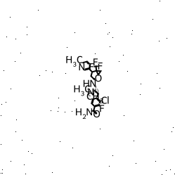 Cc1ccc(C(CC(=O)NC[C@H](Cc2ccc(C(N)=O)c(F)c2Cl)N(C)C)C2(C(F)(F)F)CC2)cn1